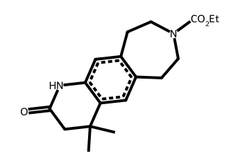 CCOC(=O)N1CCc2cc3c(cc2CC1)C(C)(C)CC(=O)N3